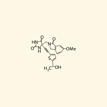 COc1ccc2c(c1)C(=O)N(CC1(C#Cc3ccc(C(C)O)s3)NC(=O)NC1=O)C2